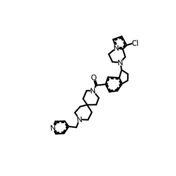 O=C(c1ccc2c(c1)C(N1CCn3ccc(Cl)c3C1)CC2)N1CCC2(CCN(Cc3ccncc3)CC2)CC1